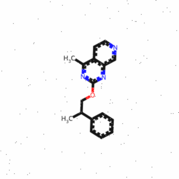 Cc1nc(OCC(C)c2ccccc2)nc2cnccc12